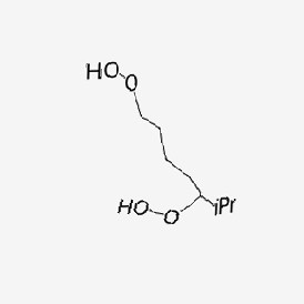 CC(C)C(CCCCOO)OO